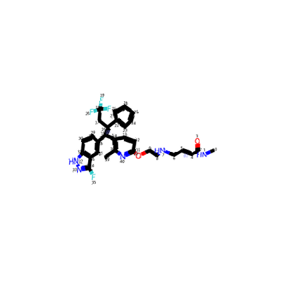 CNC(=O)/C=C/CNCCOc1ccc(/C(=C(/CC(F)(F)F)c2ccccc2)c2ccc3[nH]nc(F)c3c2)c(C)n1